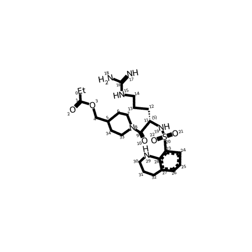 CCC(=O)OCC1CCN(C(=O)[C@H](CCCNC(=N)N)NS(=O)(=O)c2cccc3c2NCCC3)CC1